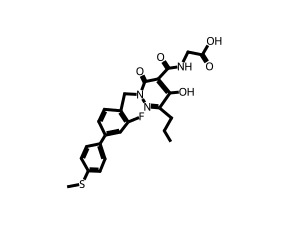 CCCc1nn(Cc2ccc(-c3ccc(SC)cc3)cc2F)c(=O)c(C(=O)NCC(=O)O)c1O